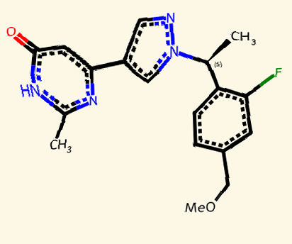 COCc1ccc([C@H](C)n2cc(-c3cc(=O)[nH]c(C)n3)cn2)c(F)c1